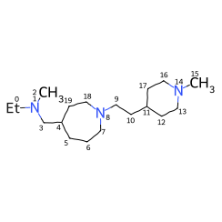 CCN(C)CC1CCCN(CCC2CCN(C)CC2)CC1